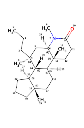 CCC[C@@]1(C)C[C@H]2N(C)C(=O)CC[C@]2(C)[C@H]2CC[C@]3(C)CCC[C@H]3[C@@H]21